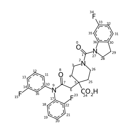 O=C(N1CCC(CC(=O)N(c2cccc(F)c2)c2ccccc2F)(C(=O)O)CC1)N1CCc2ccc(F)cc21